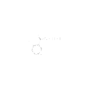 CN(O)C(=O)c1cnccc1C(F)(F)F